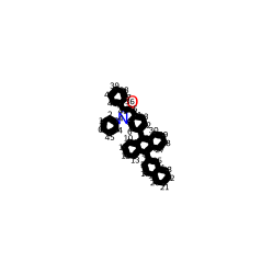 c1ccc(-n2c3cc(-c4c5ccccc5c(-c5ccc6ccccc6c5)c5ccccc45)ccc3c3oc4ccccc4c32)cc1